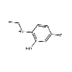 CCNc1ccc(F)cc1O